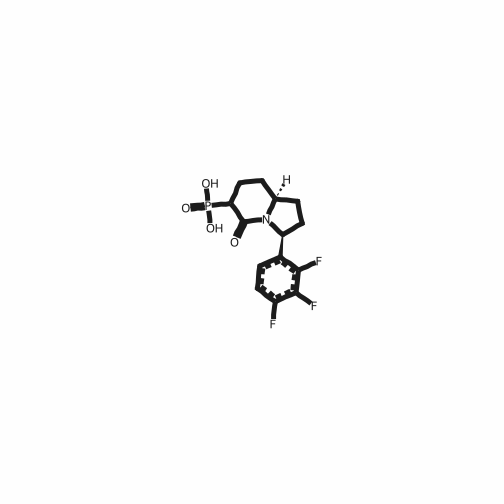 O=C1C(P(=O)(O)O)CC[C@H]2CC[C@@H](c3ccc(F)c(F)c3F)N12